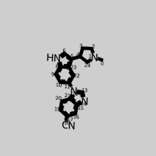 CN1CCC(c2c[nH]c3ccc(-n4cnc5cc(C#N)ccc54)cc23)C1